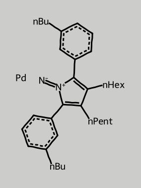 CCCCCCC1=C(c2cccc(CCCC)c2)[N+](=[N-])C(c2cccc(CCCC)c2)=C1CCCCC.[Pd]